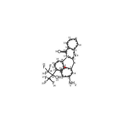 Nc1cccc(Cc2nc3ccccc3c(=O)n2-c2ccc(C(O)(C(F)(F)F)C(F)(F)F)cc2)c1